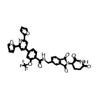 O=C1CCC(N2C(=O)c3ccc(CNC(=O)c4ccc(-c5cc(-c6ccco6)nc(-c6ccco6)c5)cc4OC(F)(F)F)cc3C2=O)C(=O)N1